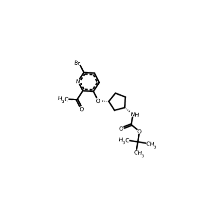 CC(=O)c1nc(Br)ccc1O[C@@H]1CC[C@H](NC(=O)OC(C)(C)C)C1